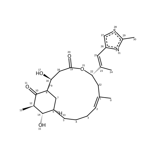 C/C1=C/CCC[C@@H]2C[C@@](C)(C(=O)[C@H](C)[C@H]2O)[C@@H](O)CC(=O)O[C@H](/C(C)=C/c2csc(C)n2)C1